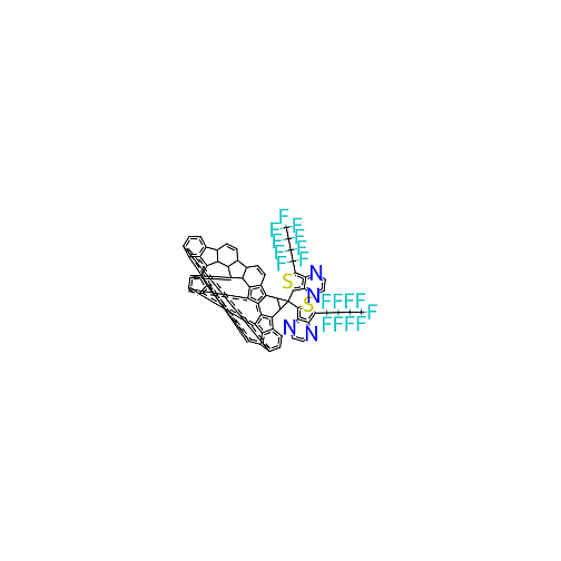 FC(F)(F)C(F)(F)C(F)(F)C(F)(F)c1sc(C2(c3sc(C(F)(F)C(F)(F)C(F)(F)C(F)(F)F)c4nccnc34)C3c4c5c6c7c4c4c(c8ccc9c%10ccc%11c%12c%13c%14c(c7c7c%14c(c%12%10)c9c8c47)=C4C6C(C=C5)C5C=CC%11C%13C45)C32)c2nccnc12